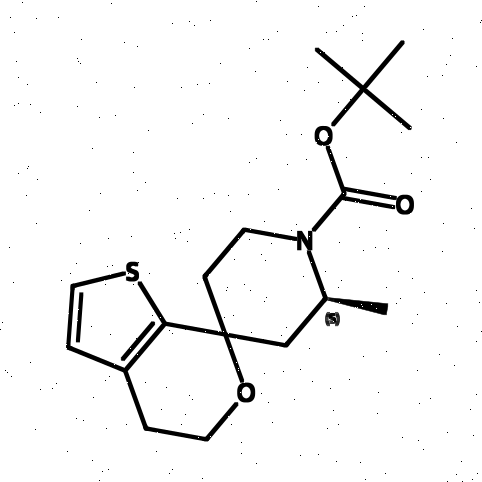 C[C@H]1CC2(CCN1C(=O)OC(C)(C)C)OCCc1ccsc12